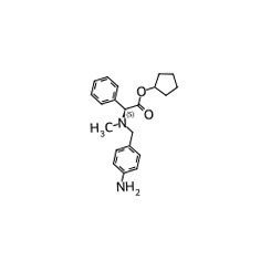 CN(Cc1ccc(N)cc1)[C@H](C(=O)OC1CCCC1)c1ccccc1